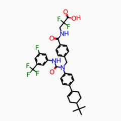 CC(C)(C)C1CC=C(c2ccc(N(Cc3ccc(C(=O)NCC(F)(F)C(=O)O)cc3)C(=O)Nc3cc(F)cc(C(F)(F)F)c3)cc2)CC1